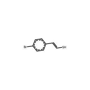 SC=Cc1ccc(Br)cc1